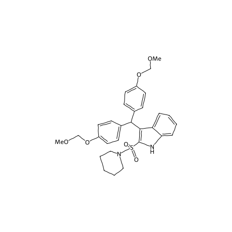 COCOc1ccc(C(c2ccc(OCOC)cc2)c2c(S(=O)(=O)N3CCCCC3)[nH]c3ccccc23)cc1